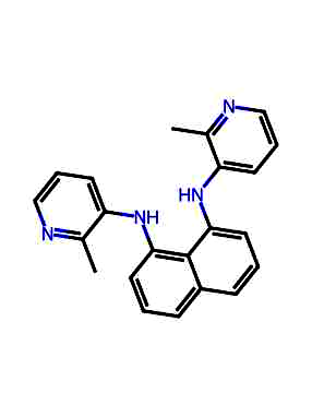 Cc1ncccc1Nc1cccc2cccc(Nc3cccnc3C)c12